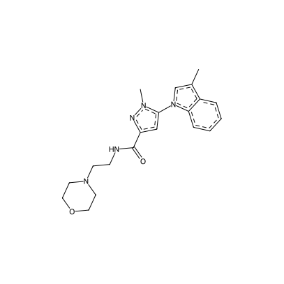 Cc1cn(-c2cc(C(=O)NCCN3CCOCC3)nn2C)c2ccccc12